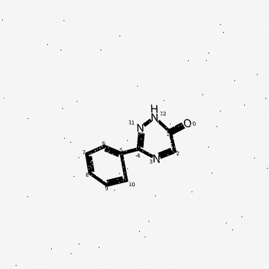 O=c1cnc(-c2ccccc2)n[nH]1